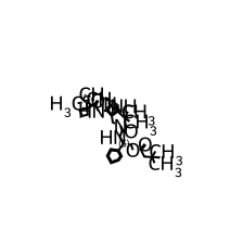 CC(C)CC(=O)OC[C@@H](NC(=O)N1Cc2c(NC(=O)C3(S(C)(C)C)CCC3)n[nH]c2C1(C)C)c1ccccc1